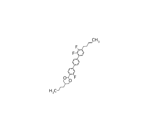 C/C=C/CCc1ccc(-c2ccc(-c3ccc(C4OCC(CCCC)CO4)c(F)c3)cc2)c(F)c1F